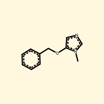 Cn1cncc1OCc1ccccc1